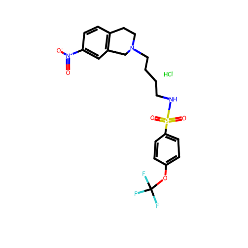 Cl.O=[N+]([O-])c1ccc2c(c1)CN(CCCCNS(=O)(=O)c1ccc(OC(F)(F)F)cc1)CC2